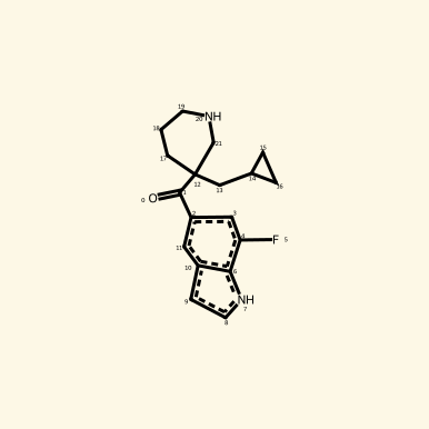 O=C(c1cc(F)c2[nH]ccc2c1)C1(CC2CC2)CCCNC1